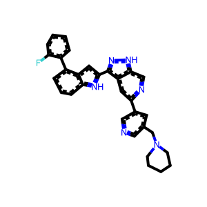 Fc1ccccc1-c1cccc2[nH]c(-c3n[nH]c4cnc(-c5cncc(CN6CCCCC6)c5)cc34)cc12